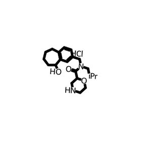 CC(C)CN(Cc1ccc2c(c1)C(O)CCCC2)C(=O)C1CNCCO1.Cl